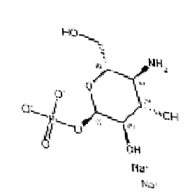 N[C@H]1[C@H](O)[C@@H](O)[C@@H](OP(=O)([O-])[O-])O[C@@H]1CO.[Na+].[Na+]